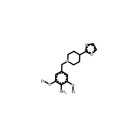 CCOc1cc(CN2CCC(c3ncco3)CC2)cc(OCC)c1N